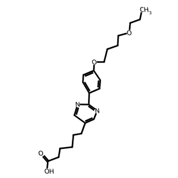 CCCOCCCCOc1ccc(-c2ncc(CCCCCC(=O)O)cn2)cc1